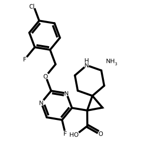 N.O=C(O)C1(c2nc(OCc3ccc(Cl)cc3F)ncc2F)CC12CCNCC2